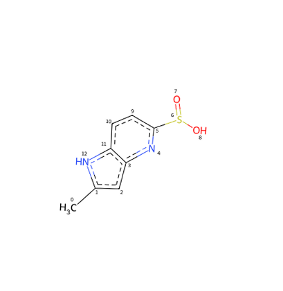 Cc1cc2nc(S(=O)O)ccc2[nH]1